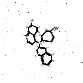 NC1CCC(N(c2cnc3ccccc3c2)c2ccnc3cc(Cl)ccc23)CC1